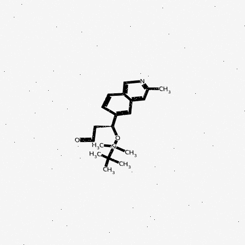 Cc1cc2cc([C@H](CC=O)O[Si](C)(C)C(C)(C)C)ccc2cn1